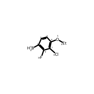 Bc1ccc(OCC)c(Cl)c1F